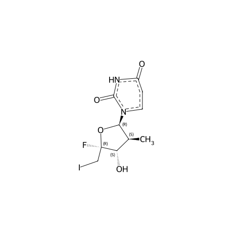 C[C@@H]1[C@H](n2ccc(=O)[nH]c2=O)O[C@](F)(CI)[C@H]1O